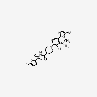 CCc1cnc(-c2cnc(N3CCC(C(=O)NS(=O)(=O)c4ccc(Cl)s4)CC3)c(Cl)c2N(C)C)o1